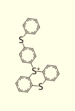 c1ccc(Sc2ccc([S+]3c4ccccc4Sc4ccccc43)cc2)cc1